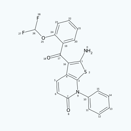 Nc1sc2c(ccc(=O)n2-c2ccccc2)c1C(=O)c1ccccc1OC(F)F